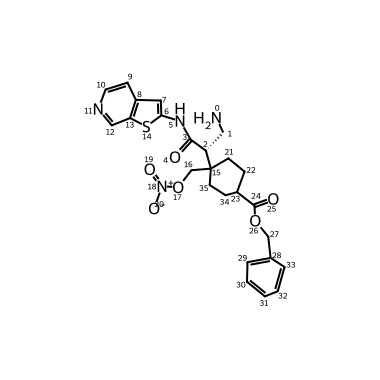 NC[C@@H](C(=O)Nc1cc2ccncc2s1)C1(CO[N+](=O)[O-])CCC(C(=O)OCc2ccccc2)CC1